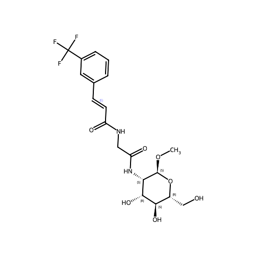 CO[C@H]1O[C@H](CO)[C@@H](O)[C@H](O)[C@@H]1NC(=O)CNC(=O)/C=C/c1cccc(C(F)(F)F)c1